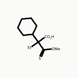 CCC(C(=O)O)(C(=S)OC)C1CCCCC1